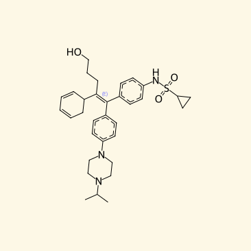 CC(C)N1CCN(c2ccc(/C(=C(/CCCO)C3C=CC=CC3)c3ccc(NS(=O)(=O)C4CC4)cc3)cc2)CC1